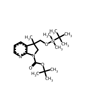 CC(C)(C)OC(=O)N1CC(C)(CO[Si](C)(C)C(C)(C)C)c2cccnc21